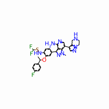 CC(Oc1cc(-c2nn(C)c3c(-c4cnn5c4CNCC5)cnc(N)c23)ccc1NSC(F)F)c1ccc(F)cc1